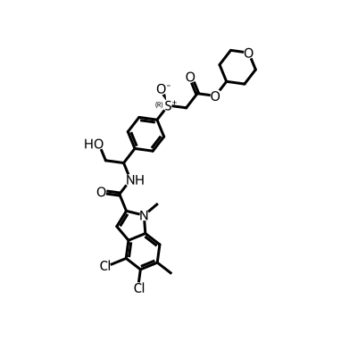 Cc1cc2c(cc(C(=O)NC(CO)c3ccc([S@@+]([O-])CC(=O)OC4CCOCC4)cc3)n2C)c(Cl)c1Cl